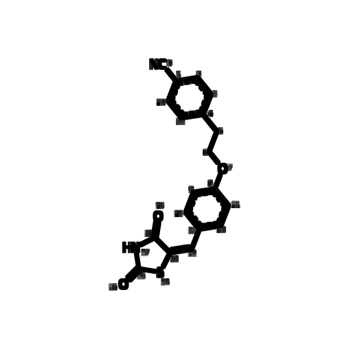 N#Cc1ccc(CCOc2ccc(C=C3SC(=O)NC3=O)cc2)cc1